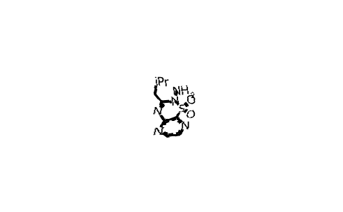 CC(C)CC1=Nc2nccnc2S(=O)(=O)N1N